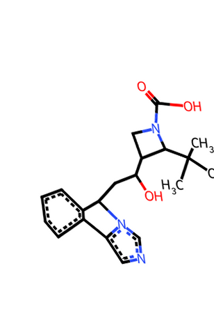 CC(C)(C)C1C(C(O)CC2c3ccccc3-c3cncn32)CN1C(=O)O